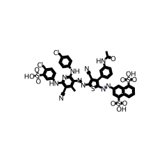 CC(=O)Nc1cccc(-c2c(/N=N/c3cc(S(=O)(=O)O)c4cccc(S(=O)(=O)O)c4c3)sc(N=Nc3c(Nc4ccc(Cl)cc4)nc(Nc4ccc(Cl)c(S(=O)(=O)O)c4)c(C#N)c3C)c2C#N)c1